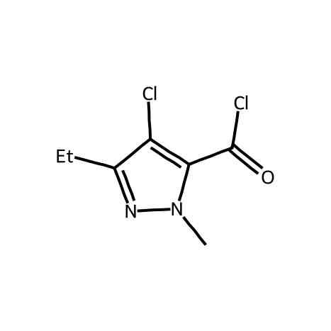 CCc1nn(C)c(C(=O)Cl)c1Cl